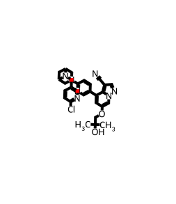 CC(C)(O)COc1cc(-c2ccc(N3CC4CC(C3)N4Cc3ccc(Cl)nc3)nc2)c2c(C#N)cnn2c1